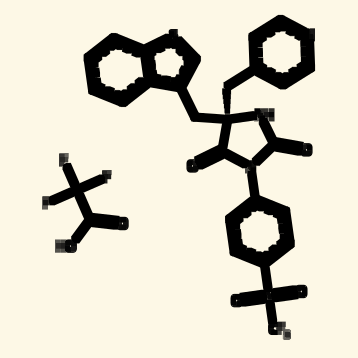 O=C(O)C(F)(F)F.O=C1N[C@](Cc2ccncc2)(Cc2csc3ccccc23)C(=O)N1c1ccc(S(=O)(=O)C(F)(F)F)cc1